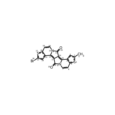 Cc1cc2c(s1)C=CN1C(=O)C3=C4c5cc(Br)sc5C=CN4C(=O)C3=C21